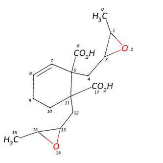 CC1OC1CC1(C(=O)O)C=CCCC1(CC1OC1C)C(=O)O